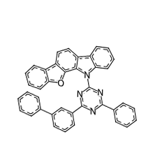 c1ccc(-c2cccc(-c3nc(-c4ccccc4)nc(-n4c5ccccc5c5ccc6c7ccccc7oc6c54)n3)c2)cc1